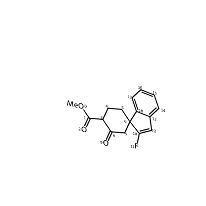 COC(=O)C1CCC2(CC1=O)C(F)=Cc1ccccc12